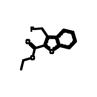 CCOC(=O)c1oc2ccccc2c1CF